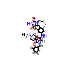 CN1CCC(C)(C(=O)N(CC(=O)Nc2ccc3c(c2)C[C@@]2(C3)C(=O)NC(=O)N2C)Cc2cc(F)cc(F)c2)CC1